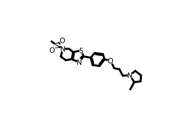 CC1CCCN1CCCOc1ccc(-c2nc3c(s2)CN(S(C)(=O)=O)CC3)cc1